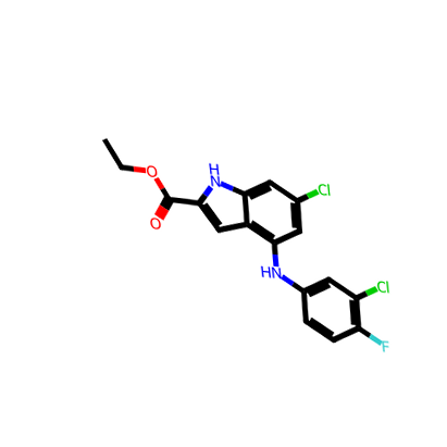 CCOC(=O)c1cc2c(Nc3ccc(F)c(Cl)c3)cc(Cl)cc2[nH]1